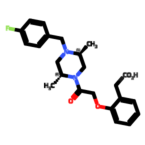 C[C@@H]1CN(Cc2ccc(F)cc2)[C@@H](C)CN1C(=O)COc1ccccc1CC(=O)O